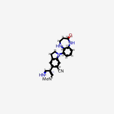 CN/C=C(\C=N)c1cc2c(cc1C#N)N(c1cccc3c1NCCC(=O)N3)CC2